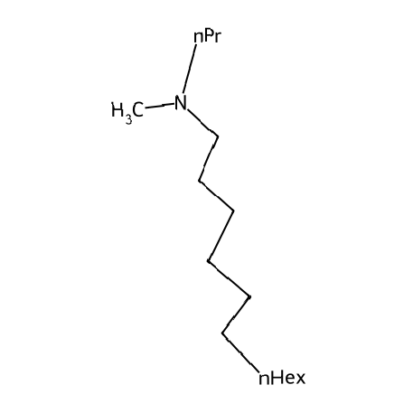 CCCCCCCCCCCCN(C)CCC